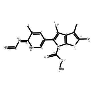 Cc1cc(-c2c(C(C)C)c3c(C)c(Br)sc3n2C(=O)OC(C)(C)C)c[nH]/c1=N\C=N